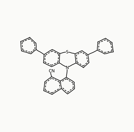 N#Cc1cccc2cccc(N3c4ccc(-c5ccccc5)cc4Sc4cc(-c5ccccc5)ccc43)c12